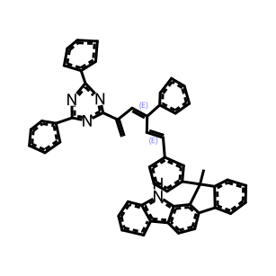 C=C(/C=C(\C=C\c1cccc(C2(C)c3ccccc3-c3ccc4c([nH]c5ccccc54)c32)c1)c1ccccc1)c1nc(-c2ccccc2)nc(-c2ccccc2)n1